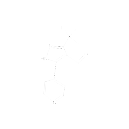 O=Cc1c(C(F)(F)F)n[nH]c1-c1ccncc1